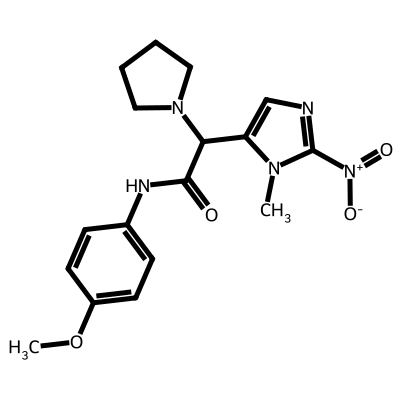 COc1ccc(NC(=O)C(c2cnc([N+](=O)[O-])n2C)N2CCCC2)cc1